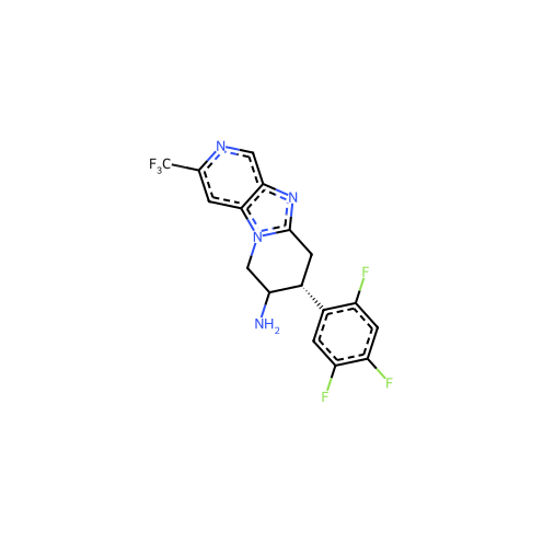 NC1Cn2c(nc3cnc(C(F)(F)F)cc32)C[C@@H]1c1cc(F)c(F)cc1F